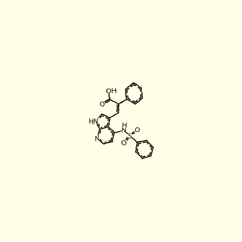 O=C(O)/C(=C\c1c[nH]c2nccc(NS(=O)(=O)c3ccccc3)c12)c1ccccc1